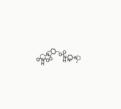 C[C@@H]1CCCN1c1ccc(NC(=O)OCc2ccc3c(c2)C(=O)N(C2CCC(=O)NC2=O)C3)nc1